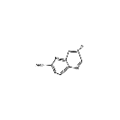 [2H]c1cnc2ccc(OC)nc2c1